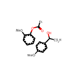 CCC(=O)Oc1ccccc1OC.COc1ccc(C(O)C(=O)O)cc1